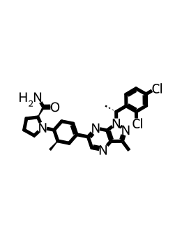 Cc1nn([C@H](C)c2ccc(Cl)cc2Cl)c2nc(C3=CCC(N4CCC[C@H]4C(N)=O)[C@H](C)C3)cnc12